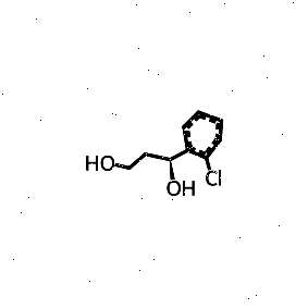 OCC[C@H](O)c1ccccc1Cl